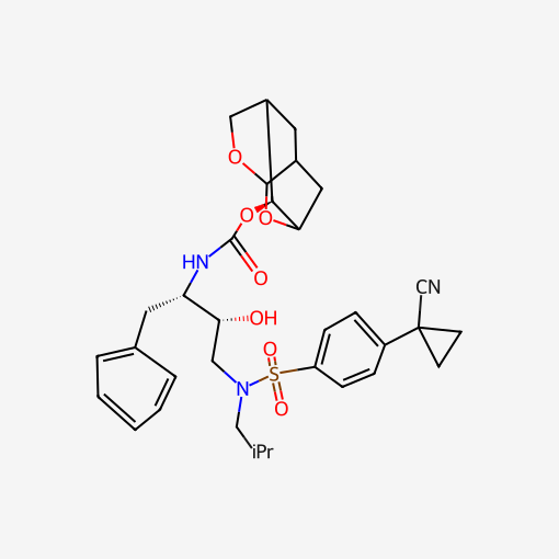 CC(C)CN(C[C@@H](O)[C@H](Cc1ccccc1)NC(=O)O[C@H]1C2COC3OC1CC3C2)S(=O)(=O)c1ccc(C2(C#N)CC2)cc1